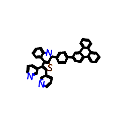 c1cncc(-c2sc3c(-c4ccc(-c5ccc6c7ccccc7c7ccccc7c6c5)cc4)nc4ccccc4c3c2-c2cccnc2)c1